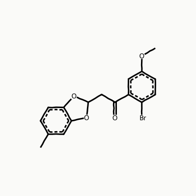 COc1ccc(Br)c(C(=O)CC2Oc3ccc(C)cc3O2)c1